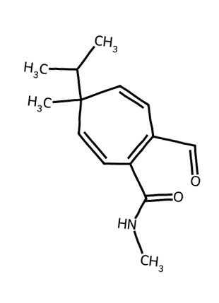 CNC(=O)C1=C(C=O)C=CC(C)(C(C)C)C=C1